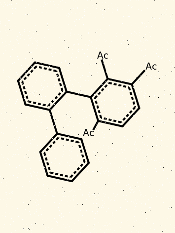 CC(=O)c1ccc(C(C)=O)c(-c2ccccc2-c2ccccc2)c1C(C)=O